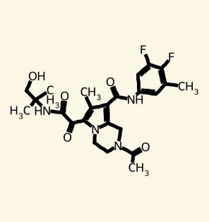 CC(=O)N1CCn2c(c(C(=O)Nc3cc(C)c(F)c(F)c3)c(C)c2C(=O)C(=O)NC(C)(C)CO)C1